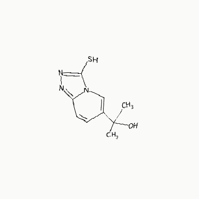 CC(C)(O)c1ccc2nnc(S)n2c1